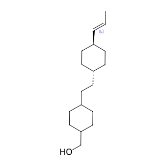 C/C=C/[C@H]1CC[C@H](CCC2CCC(CO)CC2)CC1